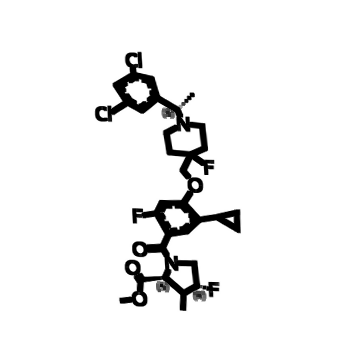 COC(=O)[C@@H]1C(C)[C@@H](F)CN1C(=O)c1cc(C2CC2)c(OCC2(F)CCN([C@@H](C)c3cc(Cl)cc(Cl)c3)CC2)cc1F